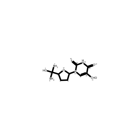 BC(B)(O)C1CCC(n2cc(C=O)c(=O)[nH]c2=S)O1